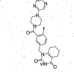 O=C(c1cc(Cn2c3c(c(=O)[nH]c2=O)CCCC3)ccc1F)N1CCN(c2cnccn2)CC1